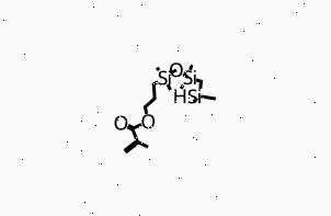 C=C(C)C(=O)OCCC[Si](C)(C)O[Si](C)(C)C[SiH](C)C